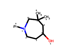 CC(C)N1CCC(O)CC(C)(C)C1